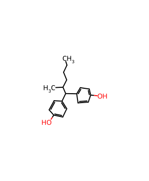 CCCCC(C)C(c1ccc(O)cc1)c1ccc(O)cc1